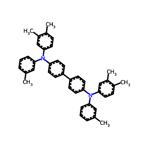 Cc1cccc(N(c2ccc(-c3ccc(N(c4cccc(C)c4)c4ccc(C)c(C)c4)cc3)cc2)c2ccc(C)c(C)c2)c1